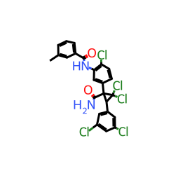 Cc1cccc(C(=O)Nc2cc(C3(C(N)=O)C(c4cc(Cl)cc(Cl)c4)C3(Cl)Cl)ccc2Cl)c1